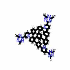 Cc1nc(C)nc(-c2ccc(-c3ccc(-c4ccccc4-c4cc(-c5ccccc5-c5ccc(-c6ccc(-c7nc(C)nc(C)n7)cn6)cc5)cc(-c5ccccc5-c5ccc(-c6ccc(-c7nc(C)nc(C)n7)cn6)cc5)c4)cc3)nc2)n1